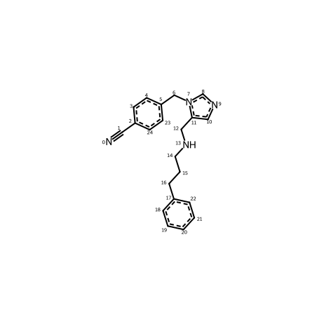 N#Cc1ccc(Cn2cncc2CNCCCc2ccccc2)cc1